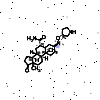 C[C@]12CC/C(=N/O[C@@H]3CCNC3)CC1[C@@H](C(N)=O)C[C@@H]1[C@@H]2CC[C@]2(C)C(=O)CC[C@@H]12